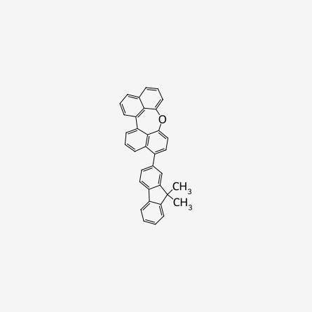 CC1(C)c2ccccc2-c2ccc(-c3ccc4oc5cccc6cccc(c7cccc3c47)c65)cc21